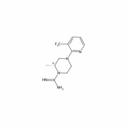 C[C@@H]1CN(c2ncccc2C(F)(F)F)CCN1C(=N)N